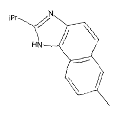 Cc1ccc2c(ccc3nc(C(C)C)[nH]c32)c1